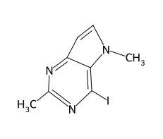 Cc1nc(I)c2c(ccn2C)n1